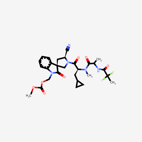 COC(=O)OCN1C(=O)[C@]2(C[C@@H](C#N)N(C(=O)[C@H](CC3CC3)N(C)C(=O)C(C)NC(=O)C(C)(F)F)C2)c2ccccc21